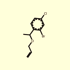 C=CCOC(C)c1ccc(Cl)cc1Br